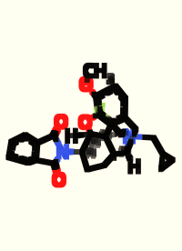 COc1ccc2c3c1O[C@H]1[C@H](N4C(=O)c5ccccc5C4=O)CC[C]4[C@@H](C2)N(CC2CC2)C=C(F)[C@@]431